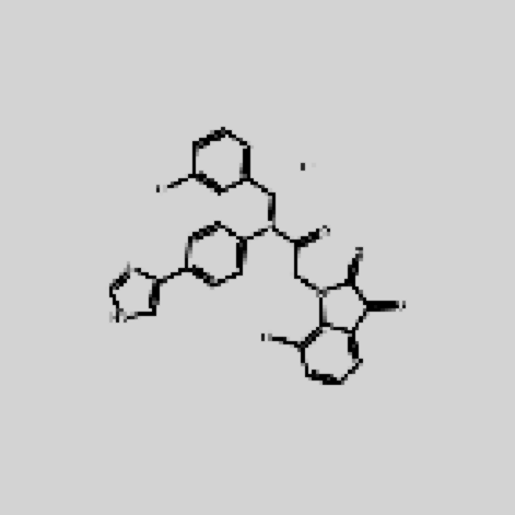 Cl.O=C1C(=O)N(CC(=O)N(Cc2cccc(Cl)c2)c2ccc(-c3c[nH]cn3)cc2)c2c(Cl)cccc21